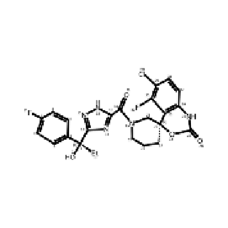 CC[C@@](O)(c1ccc(F)cc1)c1n[nH]c(C(=O)N2CCC[C@@]3(C2)OC(=O)Nc2ccc(Cl)c(F)c23)n1